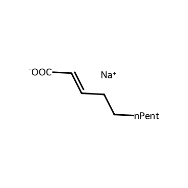 CCCCCCCC=CC(=O)[O-].[Na+]